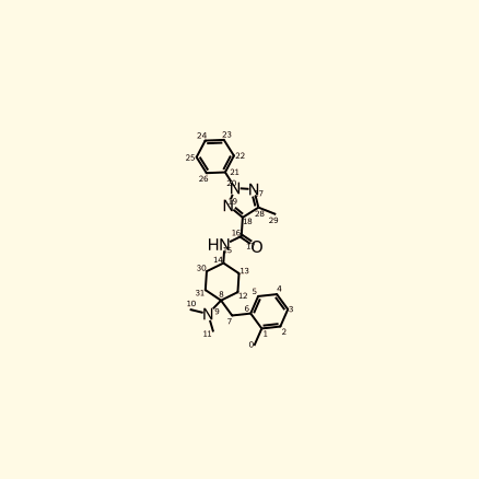 Cc1ccccc1CC1(N(C)C)CCC(NC(=O)c2nn(-c3ccccc3)nc2C)CC1